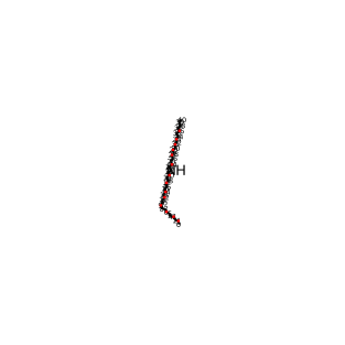 CCCCCCCC/C=C\CCCCCCCCCCCCNCCCCCCCCCCCCCCCCCC